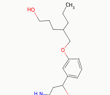 CCCC(CCCO)COc1cccc(C(O)CCN)c1